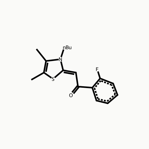 CCCCN1C(C)=C(C)S/C1=C\C(=O)c1ccccc1F